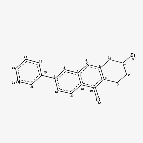 CCC1CCc2c(sc3cc(-c4cccnc4)ccc3c2=O)C1